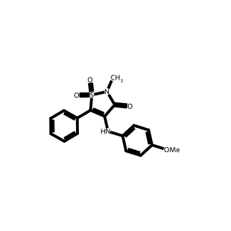 COc1ccc(NC2=C(c3ccccc3)S(=O)(=O)N(C)C2=O)cc1